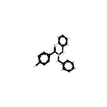 O=C(c1ccc(I)cc1)N(Cc1ccccc1)Cc1ccccc1